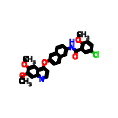 COc1cc2nccc(Oc3ccc4cc(NC(=O)c5cc(Cl)ccc5OC)ccc4c3)c2cc1OC